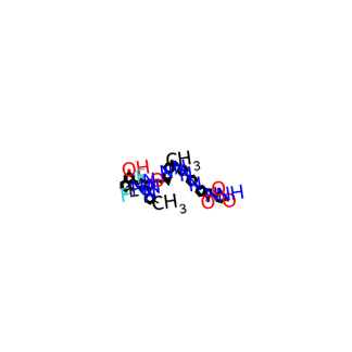 CCc1c(F)ccc2cc(O)cc(-c3ncc4c(N5CCC[C@H](C)C5)nc(OCC5(CN6CCC(C)(CN7CCN(C8CCN(c9ccc%10c(c9)CN(C9CCC(=O)NC9=O)C%10=O)CC8)CC7)CC6)CC5)nc4c3F)c12